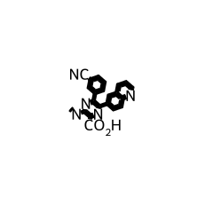 C=Nc1nc(-c2cccc(C#N)c2)c(-c2ccc3ncccc3c2)nc1C(=O)O